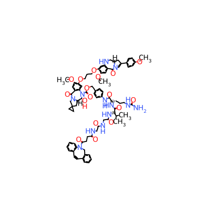 COc1ccc(C2=CN3C(=O)c4cc(OC)c(OCCCOc5cc6c(cc5OC)C(=O)N5CC7(CC7)C[C@H]5C(O)N6C(=O)OCc5ccc(NC(=O)[C@H](CCCNC(N)=O)NC(=O)[C@@H](NC(=O)CNC(=O)CNC(=O)CCC(=O)N6Cc7ccccc7C#Cc7ccccc76)C(C)C)cc5)cc4NC[C@@H]3C2)cc1